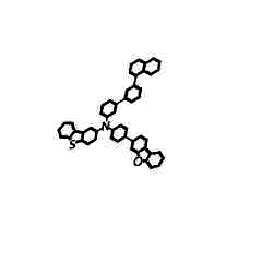 c1cc(-c2cccc(N(c3ccc(-c4ccc5c(c4)oc4ccccc45)cc3)c3ccc4sc5ccccc5c4c3)c2)cc(-c2cccc3ccccc23)c1